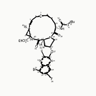 CCOC(=O)[C@@]12C[C@H]1/C=C\CCCCC[C@H](NC(=O)OC(C)(C)C)C(=O)N1C[C@H](Oc3nc4cc(F)cc(Br)c4nc3C)C[C@H]1C(=O)N2